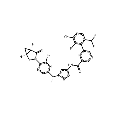 CCc1nc([C@@H](C)n2cc(NC(=O)c3cncc(-c4c(C(F)F)ccc(Cl)c4F)n3)cn2)cnc1N1C[C@H]2C[C@H]2C1=O